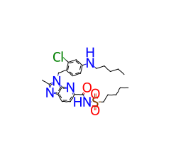 CCCCCNc1ccc(Cn2c(C)nc3ccc(C(=O)NS(=O)(=O)CCCCC)nc32)c(Cl)c1